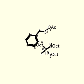 CC(=O)OSCc1ccccc1.CCCCCCCC[PH](C)(CCCCCCCC)CCCCCCCC